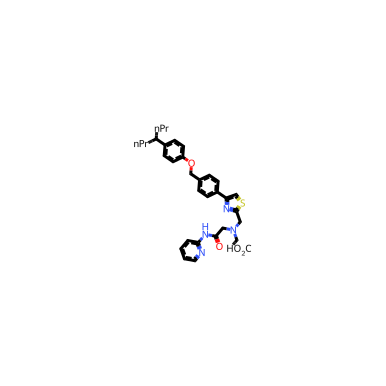 CCCC(CCC)c1ccc(OCc2ccc(-c3csc(CN(CC(=O)O)CC(=O)Nc4ccccn4)n3)cc2)cc1